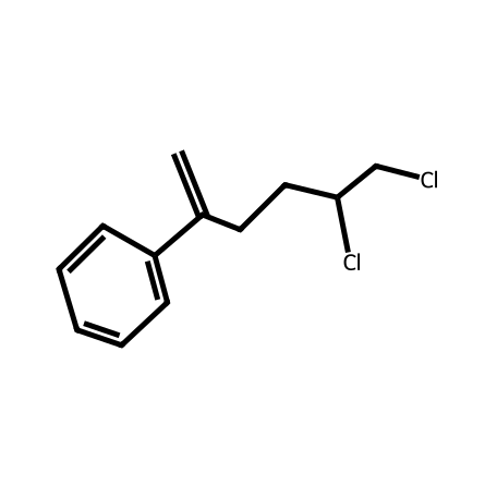 C=C(CCC(Cl)CCl)c1ccccc1